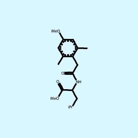 COC(=O)C(CC(C)C)NC(=O)Cc1c(C)cc(OC)cc1C